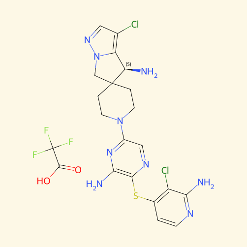 Nc1nc(N2CCC3(CC2)Cn2ncc(Cl)c2[C@H]3N)cnc1Sc1ccnc(N)c1Cl.O=C(O)C(F)(F)F